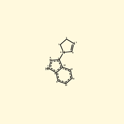 C1=NCCN1c1n[nH]c2ccccc12